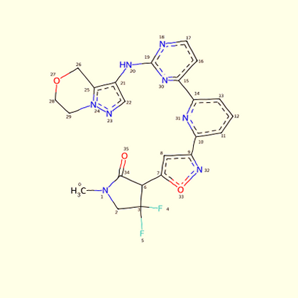 CN1CC(F)(F)C(c2cc(-c3cccc(-c4ccnc(Nc5cnn6c5COCC6)n4)n3)no2)C1=O